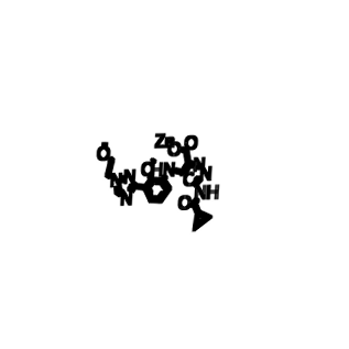 COCCn1cnc(-c2cccc(Nc3cc(NC(=O)C4CC4)nnc3C(=O)[O][Zn])c2OC)n1